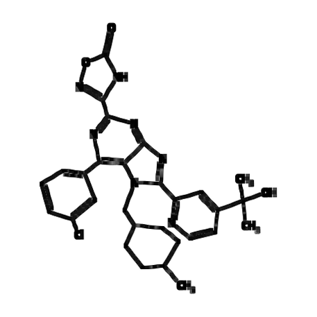 CC1CCC(Cn2c(-c3cc(C(C)(C)O)ccn3)nc3nc(-c4noc(=O)[nH]4)nc(-c4cccc(Cl)c4)c32)CC1